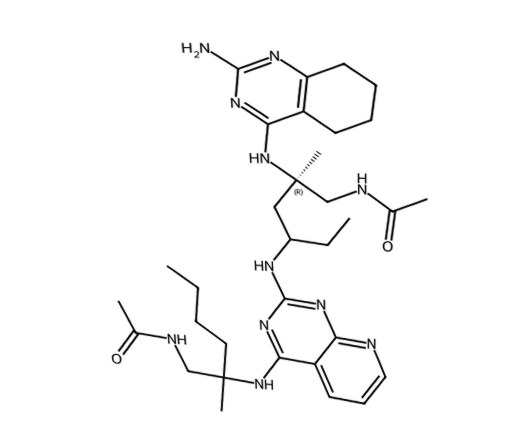 CCCCC(C)(CNC(C)=O)Nc1nc(NC(CC)C[C@](C)(CNC(C)=O)Nc2nc(N)nc3c2CCCC3)nc2ncccc12